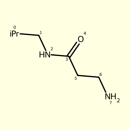 CC(C)CNC(=O)CCN